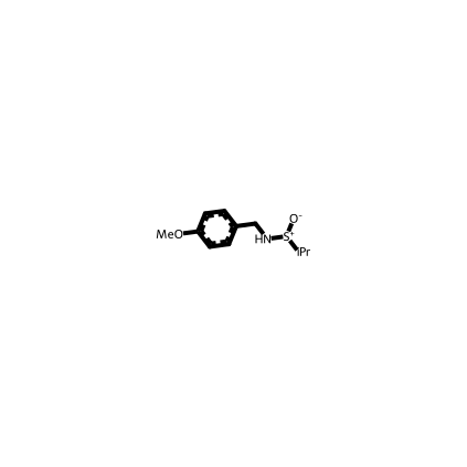 COc1ccc(CN[S+]([O-])C(C)C)cc1